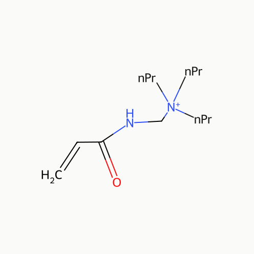 C=CC(=O)NC[N+](CCC)(CCC)CCC